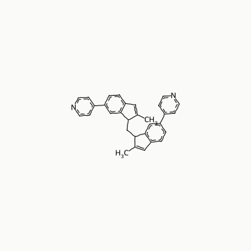 CC1=Cc2ccc(-c3ccncc3)cc2C1CC1C(C)=Cc2ccc(-c3ccncc3)cc21